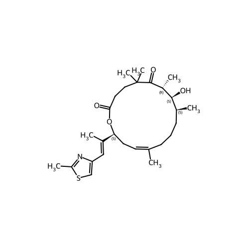 CC1=CC[C@@H](C(C)=Cc2csc(C)n2)OC(=O)CCC(C)(C)C(=O)[C@H](C)[C@@H](O)[C@@H](C)CCC1